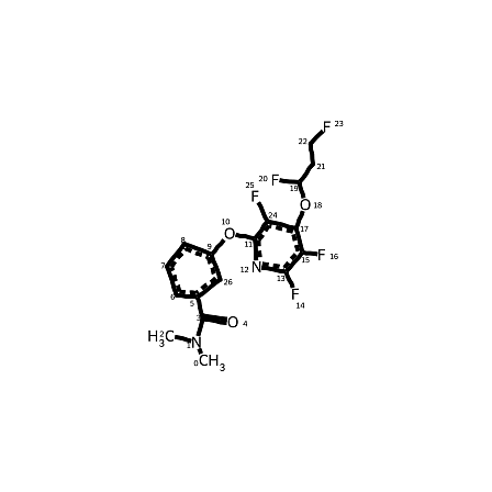 CN(C)C(=O)c1cccc(Oc2nc(F)c(F)c(OC(F)CCF)c2F)c1